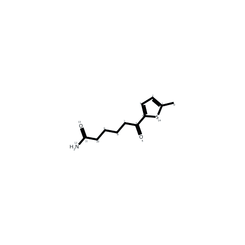 Cc1ccc(C(=O)CCCCC(N)=O)s1